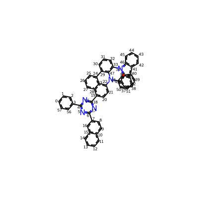 c1ccc(-c2nc(-c3ccc4ccccc4c3)nc(-c3ccc4c5c(cccc35)-c3cccc(-n5c6ccccc6c6ccccc65)c3N4c3ccccc3)n2)cc1